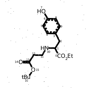 CCOC(=O)C(Cc1ccc(O)cc1)NCCC(=O)OC(C)(C)C